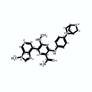 CNc1nc(Nc2ccc(N3CC4CC3CO4)cc2)c(C(N)=O)nc1-c1cncc2c1ncn2C